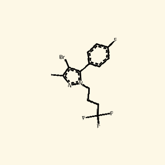 Cc1nn(CCCC(F)(F)F)c(-c2ccc(F)cc2)c1Br